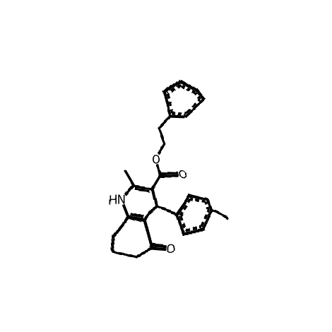 CC1=C(C(=O)OCCc2ccccc2)C(c2ccc(C)cc2)C2=C(CCCC2=O)N1